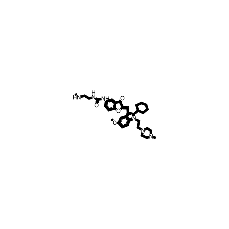 CNCCNC(=O)Nc1ccc2c(c1)C(=O)/C(=C/c1c(C3CCCCC3)n(CCN3CCN(C)CC3)c3ccc(OC)cc13)O2